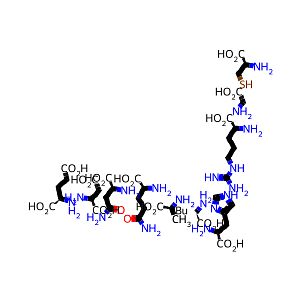 CC[C@H](C)[C@H](N)C(=O)O.C[C@H](N)C(=O)O.N=C(N)NCCC[C@H](N)C(=O)O.NC(=O)CC[C@H](N)C(=O)O.NC(=O)C[C@H](N)C(=O)O.NCC(=O)O.N[C@@H](CC(=O)O)C(=O)O.N[C@@H](CCC(=O)O)C(=O)O.N[C@@H](CS)C(=O)O.N[C@@H](Cc1c[nH]cn1)C(=O)O